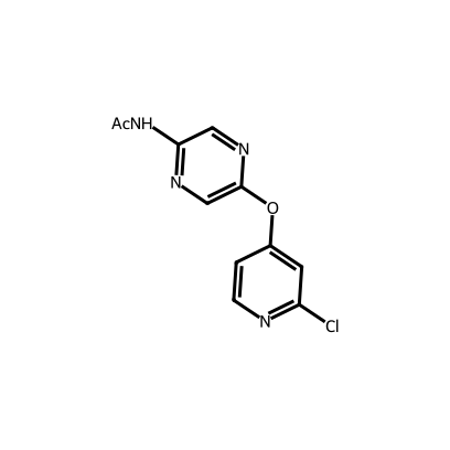 CC(=O)Nc1cnc(Oc2ccnc(Cl)c2)cn1